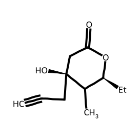 C#CC[C@]1(O)CC(=O)O[C@@H](CC)C1C